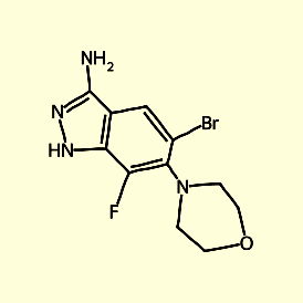 Nc1n[nH]c2c(F)c(N3CCOCC3)c(Br)cc12